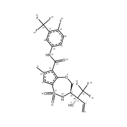 C=C[C@@](O)([C@@H]1COc2c(cn(C)c2C(=O)Nc2ccc(F)c(C(F)(F)F)c2)S(=O)(=O)N1)C(F)(F)F